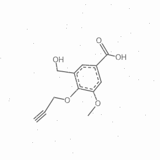 C#CCOc1c(CO)cc(C(=O)O)cc1OC